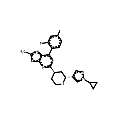 Cc1nc2nc([C@@H]3CCO[C@@H](c4cnn(C5CC5)c4)C3)nc(-c3ccc(F)cc3F)c2o1